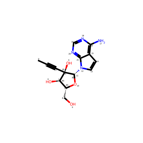 CC#C[C@@]1(O)[C@H](O)[C@@H](CO)O[C@H]1n1ccc2c(N)ncnc21